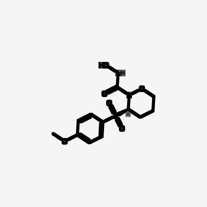 COc1ccc(S(=O)(=O)[C@@H]2CCCON2C(=O)NO)cc1